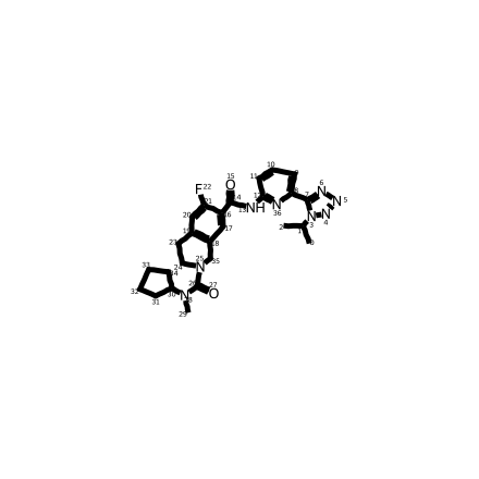 CC(C)n1nnnc1-c1cccc(NC(=O)c2cc3c(cc2F)CCN(C(=O)N(C)C2CCCC2)C3)n1